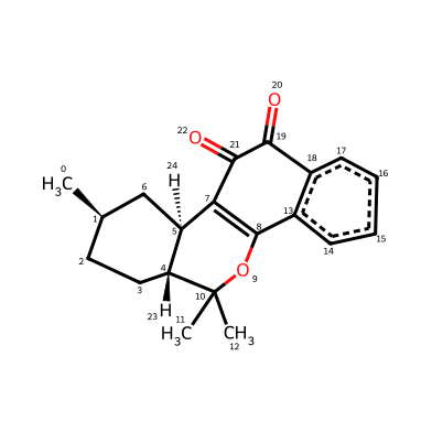 C[C@@H]1CC[C@@H]2[C@@H](C1)C1=C(OC2(C)C)c2ccccc2C(=O)C1=O